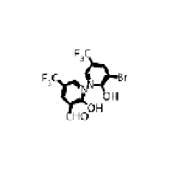 O=Cc1cc(C(F)(F)F)cnc1O.Oc1ncc(C(F)(F)F)cc1Br